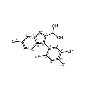 OC(O)c1sc2cc(Cl)ccc2c1-c1cc(Cl)c(F)cc1F